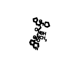 CN(CN(O)C(=O)C[C@@H](CC1CCCC1)C(=O)N1CCCCC1)S(=O)(=O)c1cccc2cnccc12